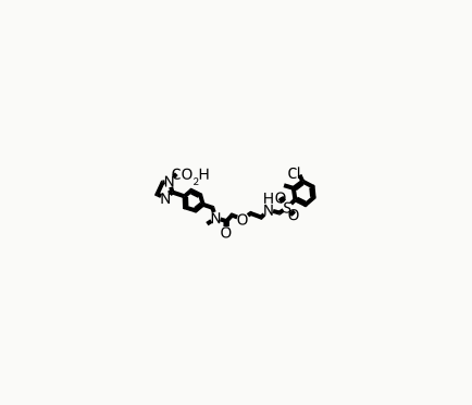 Cc1c(Cl)cccc1S(=O)(=O)CNCCOCC(=O)N(C)Cc1ccc(C2=NCCN2C(=O)O)cc1